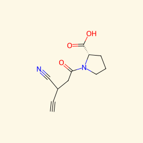 C#CC(C#N)CC(=O)N1CCC[C@H]1C(=O)O